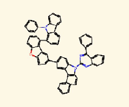 c1ccc(-c2nc(-n3c4ccc(-c5ccc6oc7cccc(-c8cccc9c%10ccccc%10n(-c%10ccccc%10)c89)c7c6c5)cc4c4c5ccccc5ccc43)nc3ccccc23)cc1